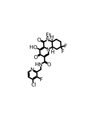 CCN1C(=O)c2c(O)c(=O)c(C(=O)NCc3nccc(Cl)c3F)cn2[C@H]2CC(F)(F)CC[C@H]21